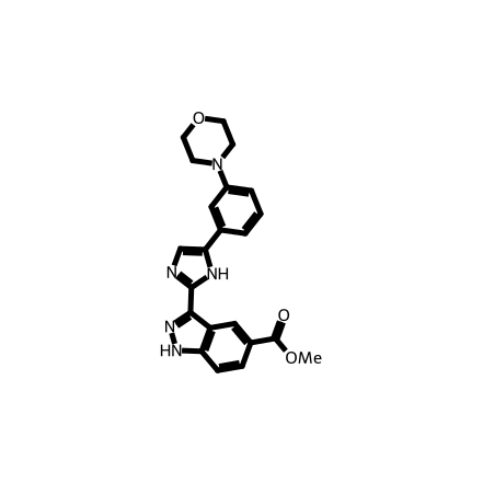 COC(=O)c1ccc2[nH]nc(-c3ncc(-c4cccc(N5CCOCC5)c4)[nH]3)c2c1